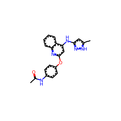 CC(=O)Nc1ccc(Oc2cc(Nc3cc(C)[nH]n3)c3ccccc3n2)cc1